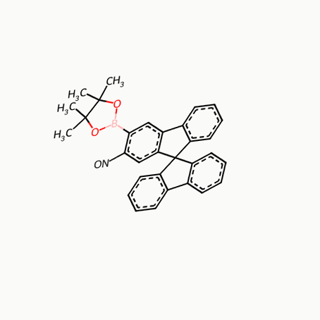 CC1(C)OB(c2cc3c(cc2N=O)C2(c4ccccc4-c4ccccc42)c2ccccc2-3)OC1(C)C